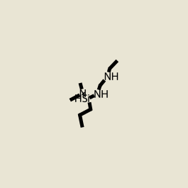 CCC[SiH](NCNCC)N(C)C